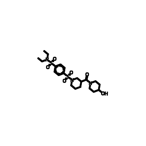 CCN(CC)S(=O)(=O)c1ccc(S(=O)(=O)N2CCCC(C(=O)N3CCC(O)CC3)C2)cc1